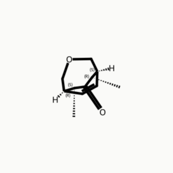 C[C@@H]1C(=O)[C@H](C)[C@@H]2C=C[C@H]1COC2